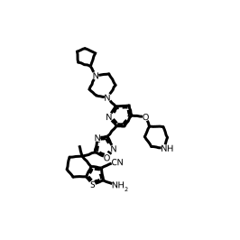 CC1(c2nc(-c3cc(OC4CCNCC4)cc(N4CCN(C5CCCC5)CC4)n3)no2)CCCc2sc(N)c(C#N)c21